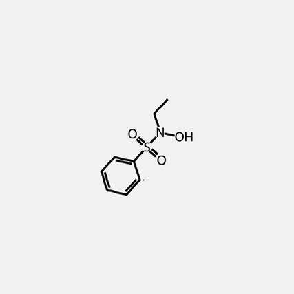 CCN(O)S(=O)(=O)c1[c]cccc1